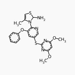 COc1cc(OC)nc(Sc2cnc(N3C(C)=CSC3N)c(Oc3ccccc3)c2)n1